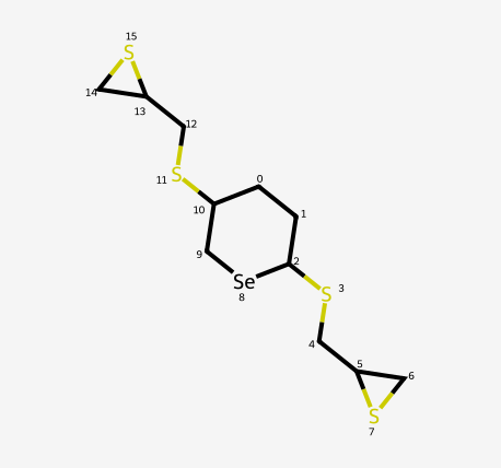 C1CC(SCC2CS2)[Se]CC1SCC1CS1